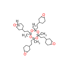 C[Si]1(CCC2CCC3OC3C2)O[Si](C)(CCC2CCC3OC3C2)O[Si](C)(CCC2CC[C@H]3OC3C2)O[Si](C)(CCC2CCC3OC3C2)O1